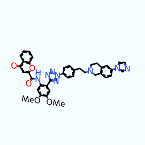 COc1cc(NC(=O)c2cc(=O)c3ccccc3o2)c(-c2nnn(-c3ccc(CCN4CCc5cc(-n6ccnc6)ccc5C4)cc3)n2)cc1OC